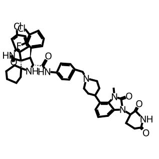 Cn1c(=O)n(C2CCC(=O)NC2=O)c2cccc(C3CCN(Cc4ccc(NC(=O)[C@@H]5NC6(CCCCC6)[C@@]6(C(=O)Nc7cc(Cl)ccc76)[C@H]5c5cccc(Cl)c5F)cc4)CC3)c21